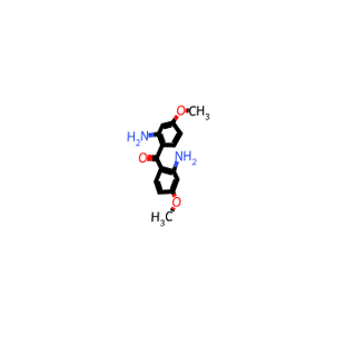 COc1ccc(C(=O)c2ccc(OC)cc2N)c(N)c1